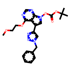 COCCOc1ncnc2c1c(-c1cn(Cc3ccccc3)nn1)cn2OC(=O)OC(C)(C)C